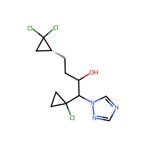 OC(CC[C@@H]1CC1(Cl)Cl)C(n1cncn1)C1(Cl)CC1